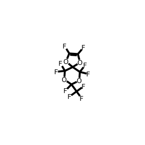 FC1=C(F)OC2(O1)C(F)(F)OC(F)(C(F)(F)F)OC2(F)F